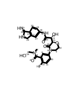 CN(C)C(=O)c1cc(N2CCO[C@H]([C@@H](O)C(=O)Nc3ccc4c(c3)CNC4=N)C2=O)ccc1F.Cl